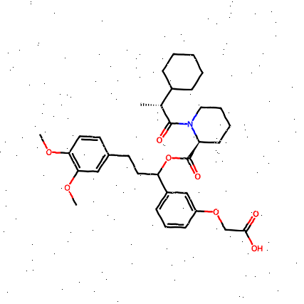 COc1ccc(CCC(OC(=O)[C@@H]2CCCCN2C(=O)[C@H](C)C2CCCCC2)c2cccc(OCC(=O)O)c2)cc1OC